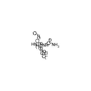 CC[C@@H](NC1CCC2(CC1)CCN(Cc1ccccc1)C2)C(=O)N1CCN(C(=O)Oc2ccc(C)c(C)c2Cl)C[C@H]1C(=O)NCc1ccc(CN)c(OC)c1